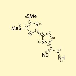 CSC1=C(SC)SC(=c2cc/c(=C(/C#N)C=N)s2)S1